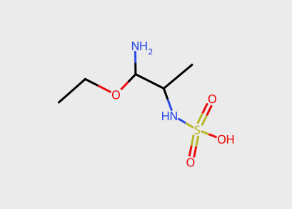 CCOC(N)C(C)NS(=O)(=O)O